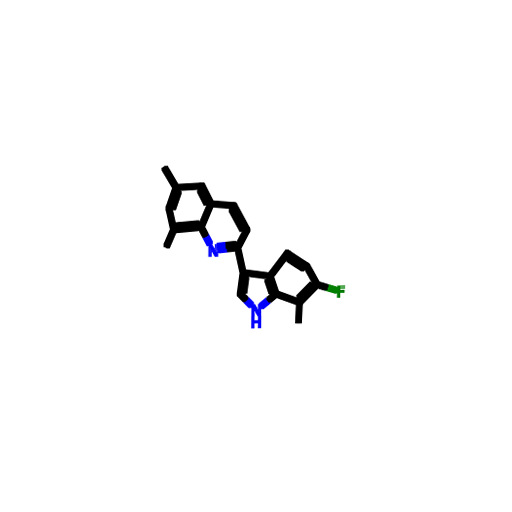 Cc1cc(C)c2nc(-c3c[nH]c4c(C)c(F)ccc34)ccc2c1